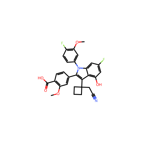 COc1cc(-n2c(-c3ccc(C(=O)O)c(OC)c3)c(C3(CC#N)CCC3)c3c(O)cc(F)cc32)ccc1F